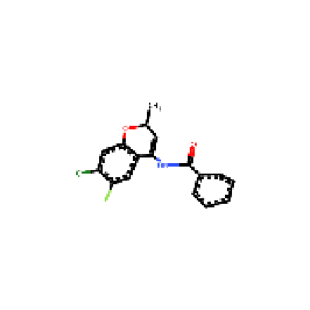 CC1C=C(NC(=O)c2ccccc2)c2cc(F)c(Cl)cc2O1